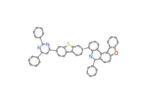 c1ccc(-c2cc(-c3ccc4c(c3)sc3cc(-c5cccc6c5nc(-c5ccccc5)c5ccc7oc8ccccc8c7c56)ccc34)nc(-c3ccccc3)n2)cc1